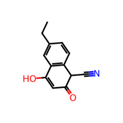 CCc1ccc2c(c1)C(O)=CC(=O)C2C#N